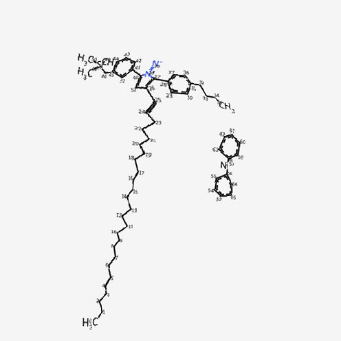 CCCCCCCCCCCCCCCCCCCCCCCCC=CC1=C(c2ccc(CCCC)cc2)[N+](=[N-])C(c2cccc(C[Si](C)(C)C)c2)=C1.c1cc[c]([Ni][c]2ccccc2)cc1